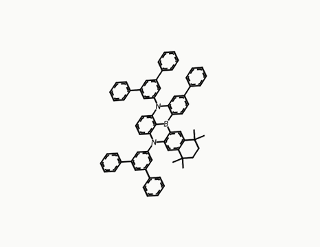 CC1(C)CCC(C)(C)c2cc3c(cc21)B1c2ccc(-c4ccccc4)cc2N(c2cc(-c4ccccc4)cc(-c4ccccc4)c2)c2cccc(c21)N3c1cc(-c2ccccc2)cc(-c2ccccc2)c1